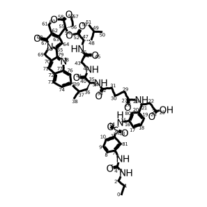 CCCNC(=O)Nc1cccc(S(=O)(=O)Nc2cccc(C(CC(=O)O)NC(=O)CCCC(=O)N[C@@H](CC(C)C)C(=O)NCC(=O)N[C@@H](CC(C)C)C(=O)O[C@]3(CC)C(=O)OCc4c3cc3n(c4=O)Cc4cc5ccccc5nc4-3)c2)c1